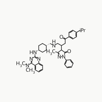 CC1=NN(c2ccccc2)C(=O)C1C(CNC[C@H]1CC[C@@H](Nc2nc(N(C)C)c3ccccc3n2)CC1)CC(=O)c1ccc(C(C)C)cc1